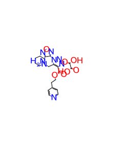 Nc1nonc1-n1nnc(C(=O)OCCc2ccncc2)c1CN1CCCCC1.O=C(O)C(=O)O